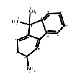 CC1(C)C2=CCC(N)C=C2c2ccccc21